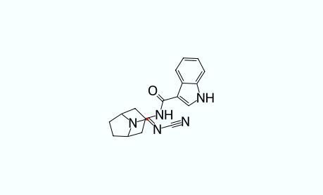 N#CN=CN1C2CCC1CC(NC(=O)c1c[nH]c3ccccc13)C2